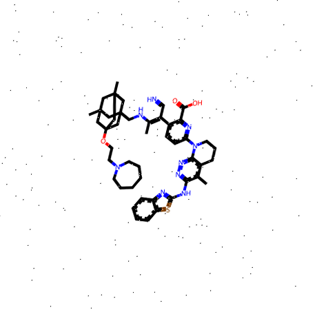 C/C(NCC12CC3(C)CC(C)(C1)CC(OCCN1CCCCCC1)(C3)C2)=C(/C=N)c1ccc(N2CCCc3c2nnc(Nc2nc4ccccc4s2)c3C)nc1C(=O)O